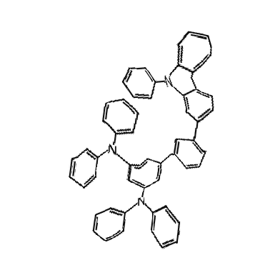 c1ccc(N(c2ccccc2)c2cc(-c3cccc(-c4ccc5c6ccccc6n(-c6ccccc6)c5c4)c3)cc(N(c3ccccc3)c3ccccc3)c2)cc1